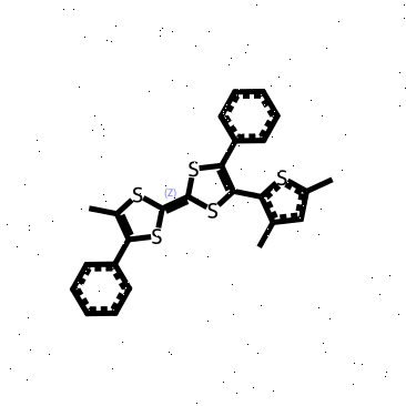 CC1=C(c2ccccc2)S/C(=C2/SC(c3ccccc3)=C(c3sc(C)cc3C)S2)S1